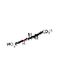 O=C(O)CCCCCCCNCCCNCCNCCNCCCNCCCCCCCC(=O)O